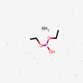 CCOP(O)OCC.[AlH3]